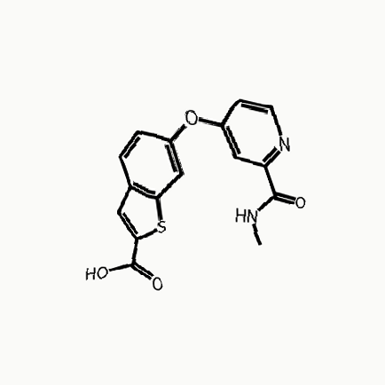 CNC(=O)c1cc(Oc2ccc3cc(C(=O)O)sc3c2)ccn1